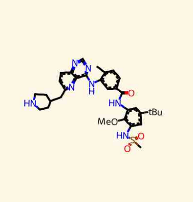 COc1c(NC(=O)c2ccc(C)c(Nc3ncnc4ccc(CC5CCNCC5)nc34)c2)cc(C(C)(C)C)cc1NS(C)(=O)=O